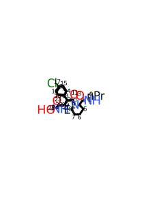 CCCNC(=O)C1CCCCN1C(=O)C(c1ccc(Cl)cc1)C(CC)C(=O)NO